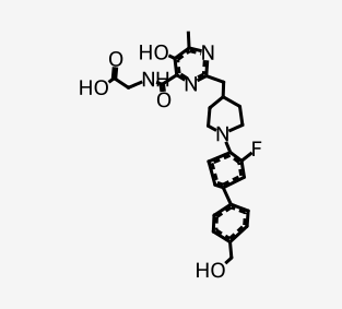 Cc1nc(CC2CCN(c3ccc(-c4ccc(CO)cc4)cc3F)CC2)nc(C(=O)NCC(=O)O)c1O